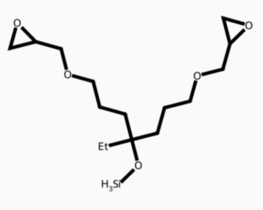 CCC(CCCOCC1CO1)(CCCOCC1CO1)O[SiH3]